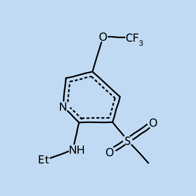 CCNc1ncc(OC(F)(F)F)cc1S(C)(=O)=O